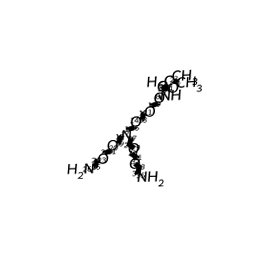 CC(C)(C)OC(=O)NOCCOCCOCCN(CCOCCOCCN)CCOCCOCCN